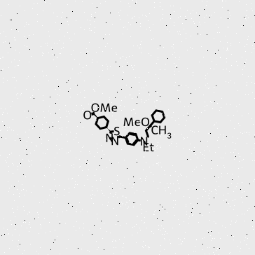 CCN(CCC(C)(OC)C1CCCCC1)c1ccc(-c2nnc([C@H]3CC[C@H](C(=O)OC)CC3)s2)cc1